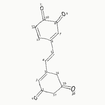 O=C1C=C(C=CC2=CC(=O)C(=O)C=C2)CC(=O)C1